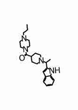 CCCN1CCN(C(=O)C2CCN(C(C)c3cc4ccccc4[nH]3)CC2)CC1